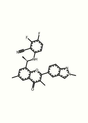 Cc1cc([C@@H](C)Nc2ccc(F)c(F)c2C#N)c2oc(-c3ccc4nn(C)cc4c3)c(C)c(=O)c2c1